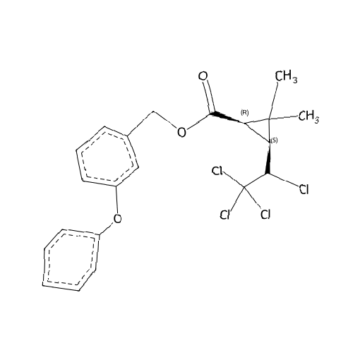 CC1(C)[C@H](C(=O)OCc2cccc(Oc3ccccc3)c2)[C@@H]1C(Cl)C(Cl)(Cl)Cl